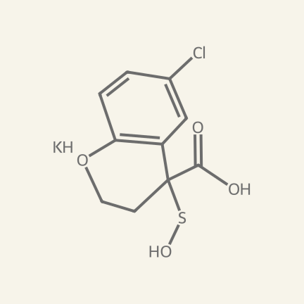 O=C(O)C1(SO)CCOc2ccc(Cl)cc21.[KH]